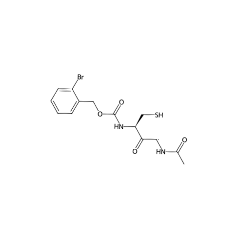 CC(=O)N[CH]C(=O)[C@H](CS)NC(=O)OCc1ccccc1Br